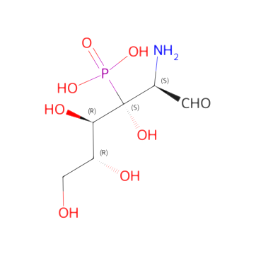 N[C@@H](C=O)[C@@](O)([C@H](O)[C@H](O)CO)P(=O)(O)O